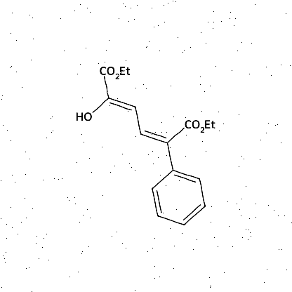 CCOC(=O)C(O)=CC=C(C(=O)OCC)c1ccccc1